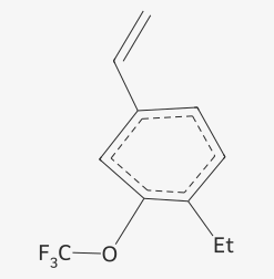 C=Cc1ccc(CC)c(OC(F)(F)F)c1